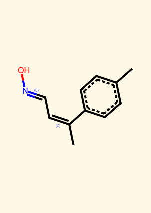 C/C(=C/C=N/O)c1ccc(C)cc1